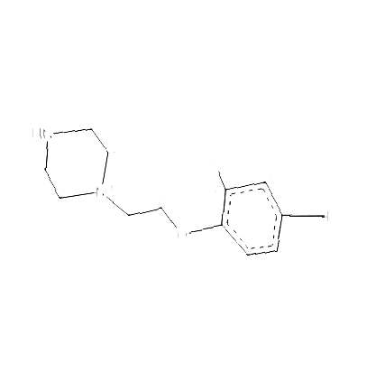 Fc1ccc(OCCN2CCNCC2)c(F)c1